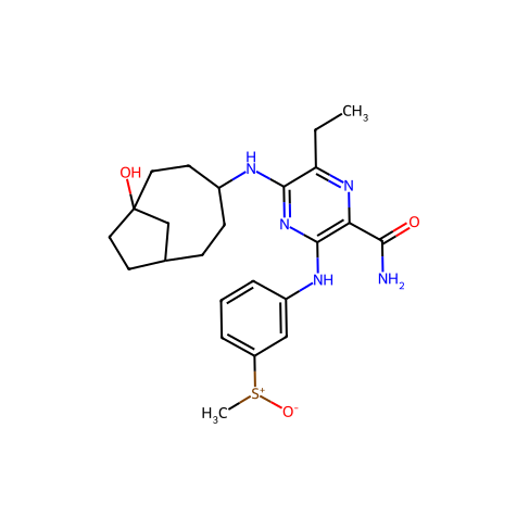 CCc1nc(C(N)=O)c(Nc2cccc([S+](C)[O-])c2)nc1NC1CCC2CCC(O)(CC1)C2